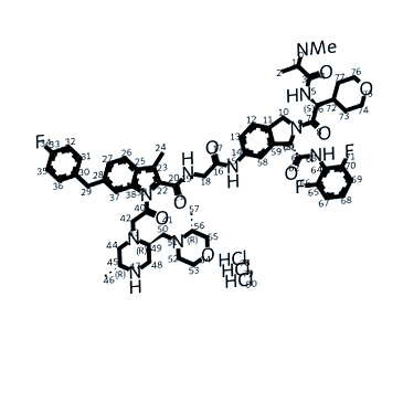 CNC(C)C(=O)N[C@H](C(=O)N1Cc2ccc(NC(=O)CNC(=O)c3c(C)c4ccc(Cc5ccc(F)cc5)cc4n3C(=O)CN3C[C@@H](C)NC[C@@H]3CN3CCOC[C@H]3C)cc2[C@H]1C(=O)Nc1c(F)cccc1F)C1CCOCC1.Cl.Cl.Cl